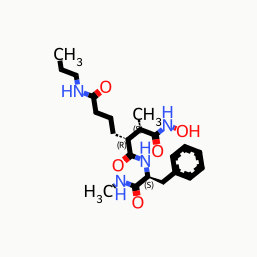 CCCNC(=O)CCC[C@@H](C(=O)N[C@@H](Cc1ccccc1)C(=O)NC)[C@H](C)C(=O)NO